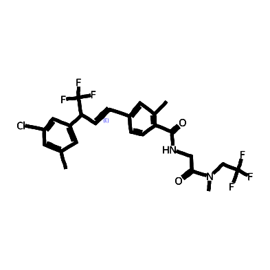 Cc1cc(Cl)cc(C(/C=C/c2ccc(C(=O)NCC(=O)N(C)CC(F)(F)F)c(C)c2)C(F)(F)F)c1